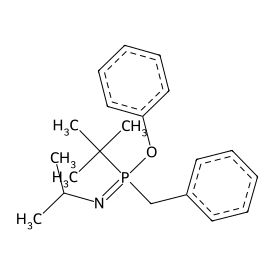 CC(C)N=P(Cc1ccccc1)(Oc1ccccc1)C(C)(C)C